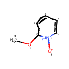 COC1C=C[C]=C[NH+]1[O-]